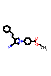 CCOC(=O)c1ccc(-n2cc(C#N)c(/C=C/c3ccccc3)c2)cc1